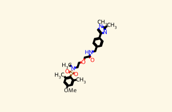 COc1cc(C)c(S(=O)(=O)N(C)CCOCC(=O)NCc2ccc(-c3cn(C)c(C)n3)cc2)c(C)c1